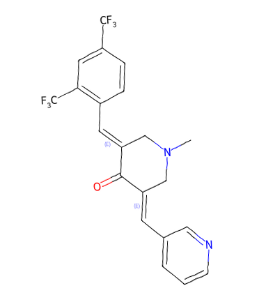 CN1C/C(=C\c2cccnc2)C(=O)/C(=C/c2ccc(C(F)(F)F)cc2C(F)(F)F)C1